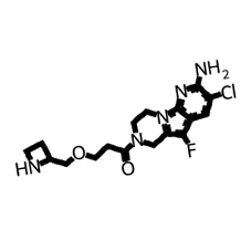 Nc1nc2c(cc1Cl)c(F)c1n2CCN(C(=O)CCOCC2CCN2)C1